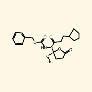 CCO[C@]1(N(NC(=O)OCc2ccccc2)C(=O)CCC2CCCC2)CCC(=O)O1